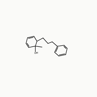 CC1(O)C=CC=CC1CCCc1ccccc1